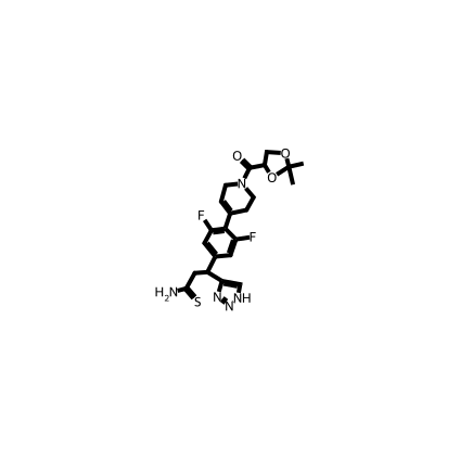 CC1(C)OCC(C(=O)N2CC=C(c3c(F)cc(C(CC(N)=S)c4c[nH]nn4)cc3F)CC2)O1